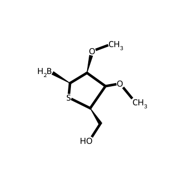 B[C@@H]1S[C@H](CO)C(OC)[C@@H]1OC